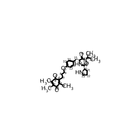 CC1=C(C)C(=O)C(CCCOc2ccc(C[C@@H](NC(=O)[C@@H]3CCCN3)C(=O)NC(C)C)cc2)=C(C)C1=O